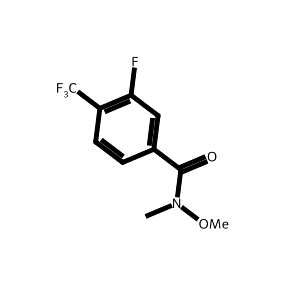 CON(C)C(=O)c1ccc(C(F)(F)F)c(F)c1